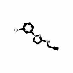 C#CCNC1=NN(c2cccc(C(F)(F)F)c2)CC1